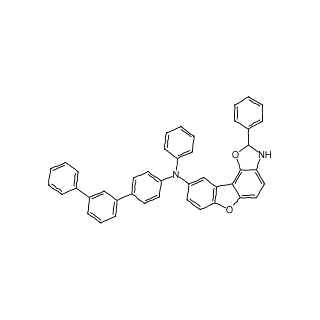 c1ccc(-c2cccc(-c3ccc(N(c4ccccc4)c4ccc5oc6ccc7c(c6c5c4)OC(c4ccccc4)N7)cc3)c2)cc1